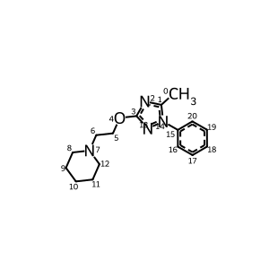 Cc1nc(OCCN2CCCCC2)nn1-c1ccccc1